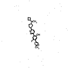 Cc1ncc(-c2cc(O)c(-c3ccc(N4CC[C@@H](N(C)C5CCC5)C4)nn3)cc2F)s1